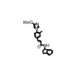 COc1cn(-c2ccc(/C=C/C(=O)NC3CCc4ccccc43)cc2C)cn1